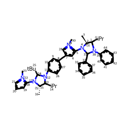 CC(C)C1[C@H](C)N(c2cc(-c3ccc(N4C(C(C)C)[C@H](C)N(c5cccn5C)C4C(C)(C)C)cc3)cn2C)C(c2ccccc2)N1c1ccccc1